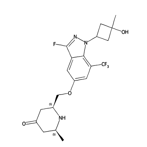 C[C@H]1CC(=O)C[C@@H](COc2cc(C(F)(F)F)c3c(c2)c(F)nn3C2CC(C)(O)C2)N1